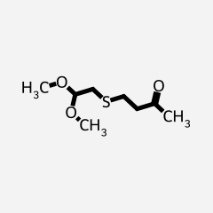 COC(CSCCC(C)=O)OC